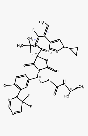 C=C(/C=C(F)\C(=C/C)c1cnn(C2CC2)c1)[C@@]1(CC(C)(C)C)NC(=N)N([C@H](COC(=O)N[C@@H](C)O)c2ccc(Cl)c(N3N=CN=CC3(F)F)c2)C1=O